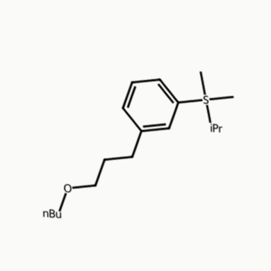 CCCCOCCCc1cccc(S(C)(C)C(C)C)c1